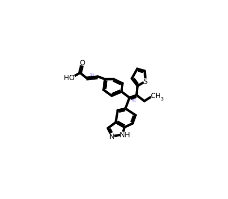 CC/C(=C(/c1ccc(/C=C/C(=O)O)cc1)c1ccc2[nH]ncc2c1)c1cccs1